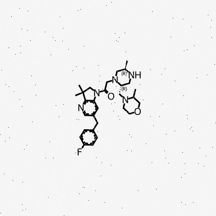 CC1COCCN1C[C@H]1CN[C@H](C)CN1CC(=O)N1CC(C)(C)c2ncc(Cc3ccc(F)cc3)cc21